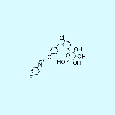 OC[C@H]1O[C@@H](c2ccc(Cl)c(Cc3ccc(OCC4CN(c5ccc(F)cc5)C4)cc3)c2)[C@H](O)C(O)[C@@H]1O